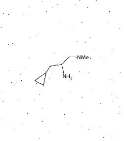 CNCC(N)CC1CC1